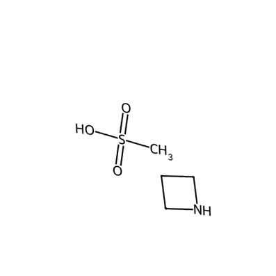 C1CNC1.CS(=O)(=O)O